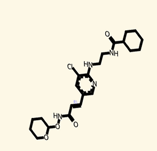 O=C(/C=C/c1cnc(NCCNC(=O)C2CCCCC2)c(Cl)c1)NOC1CCCCO1